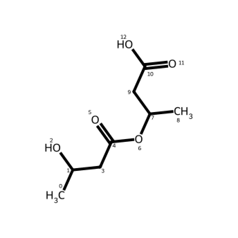 CC(O)CC(=O)OC(C)CC(=O)O